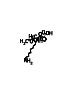 CCOC(=O)C(CCCCCCCCN)N[C@@H](C)C(=O)N1CCC[C@H]1C(=O)O